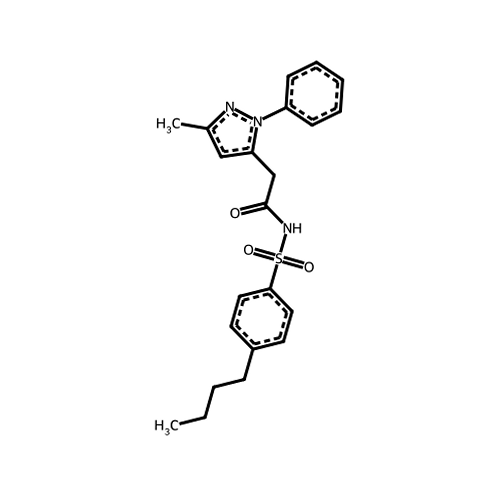 CCCCc1ccc(S(=O)(=O)NC(=O)Cc2cc(C)nn2-c2ccccc2)cc1